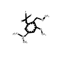 COCc1c(OC)cc([SH](C)C)cc1C(F)(F)F